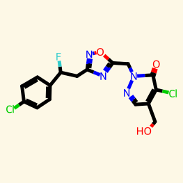 O=c1c(Cl)c(CO)cnn1Cc1nc(CC(F)c2ccc(Cl)cc2)no1